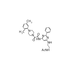 CC(=O)NCCNc1cc(NC(=O)C(=O)N2CCN(c3cc(C)ccc3C)CC2)nc(-c2ccccc2)n1